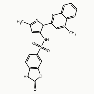 Cc1cc(NS(=O)(=O)c2ccc3[nH]c(=O)oc3c2)n(-c2cc(C)c3ccccc3n2)n1